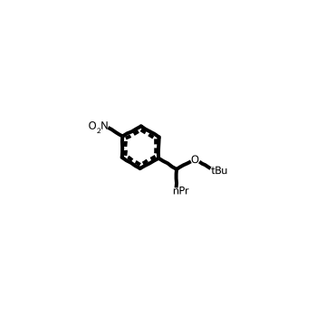 CCCC(OC(C)(C)C)c1ccc([N+](=O)[O-])cc1